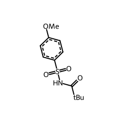 COc1ccc(S(=O)(=O)NC(=O)C(C)(C)C)cc1